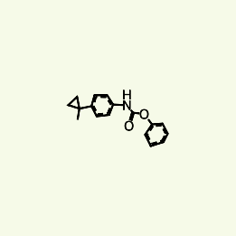 CC1(c2ccc(NC(=O)Oc3ccccc3)cc2)CC1